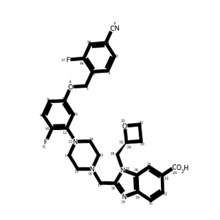 N#Cc1ccc(COc2ccc(F)c(N3CCN(Cc4nc5ccc(C(=O)O)cc5n4C[C@@H]4CCO4)CC3)c2)c(F)c1